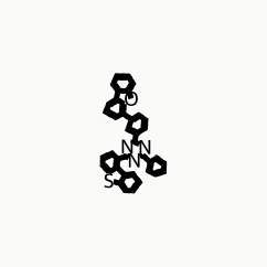 c1ccc(-c2nc(-c3cccc(-c4cccc5c4oc4ccccc45)c3)nc(-c3cccc4sc5ccccc5c34)n2)cc1